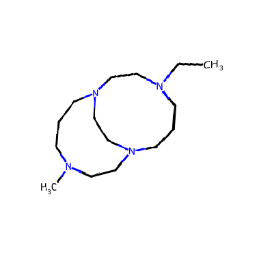 CCN1CCCN2CCN(C)CCCN(CC1)CC2